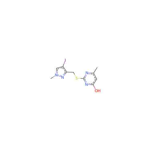 Cc1cc(O)nc(SCc2nn(C)cc2I)n1